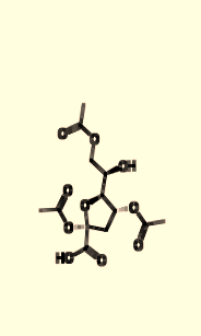 CC(=O)OC[C@@H](O)[C@@H]1O[C@](OC(C)=O)(C(=O)O)C[C@H]1OC(C)=O